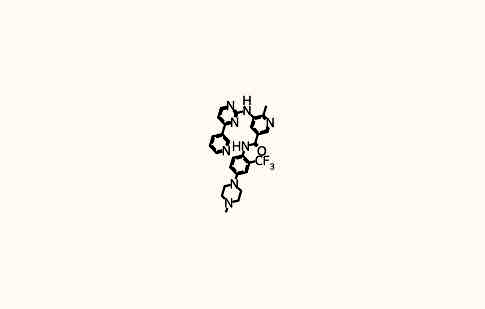 Cc1ncc(C(=O)Nc2ccc(N3CCN(C)CC3)cc2C(F)(F)F)cc1Nc1nccc(-c2cccnc2)n1